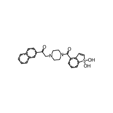 O=C(CN1CCN(C(=O)c2cccc3c2C=CS3(O)O)CC1)c1ccc2ccccc2c1